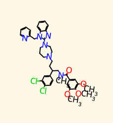 COc1cc(C(=O)N(C)CC(CCN2CCCN(c3nc4ccccc4n3Cc3ccccn3)CC2)c2ccc(Cl)c(Cl)c2)cc(OC)c1OC